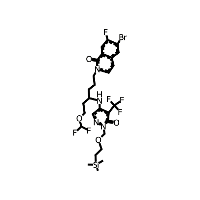 C[Si](C)(C)CCOCn1ncc(NC(CCCn2ccc3cc(Br)c(F)cc3c2=O)CCOC(F)F)c(C(F)(F)F)c1=O